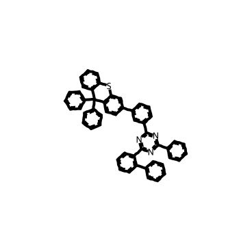 c1ccc(-c2nc(-c3cccc(-c4ccc5c(c4)Sc4ccccc4C5(c4ccccc4)c4ccccc4)c3)nc(-c3ccccc3-c3ccccc3)n2)cc1